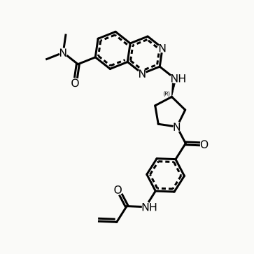 C=CC(=O)Nc1ccc(C(=O)N2CC[C@@H](Nc3ncc4ccc(C(=O)N(C)C)cc4n3)C2)cc1